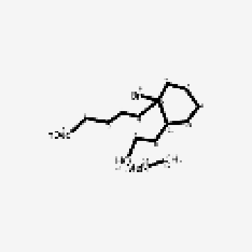 CCCCCCCCCCCCCCC1(Br)CCCCC1CCO.CNC